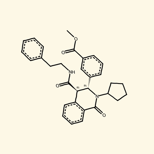 COC(=O)c1cccc([C@H]2[C@H](C(=O)NCCc3ccccc3)c3ccccc3C(=O)N2C2CCCC2)c1